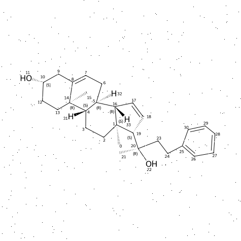 C[C@]12CC[C@H]3[C@@H](CC=C4C[C@@H](O)CC[C@@]43C)[C@@H]1C=C[C@@H]2[C@](C)(O)CCc1ccccc1